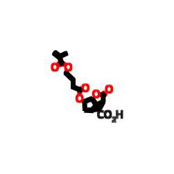 C=C(C)C(=O)OCCCC(=O)OC1C2CC3C1OC(=O)C3C2C(=O)O